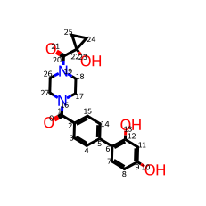 O=C(c1ccc(-c2ccc(O)cc2O)cc1)N1CCN(C(=O)C2(O)CC2)CC1